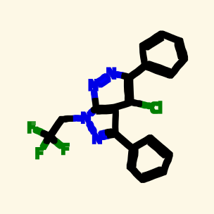 FC(F)(F)Cn1nc(-c2ccccc2)c2c(Cl)c(-c3ccccc3)nnc21